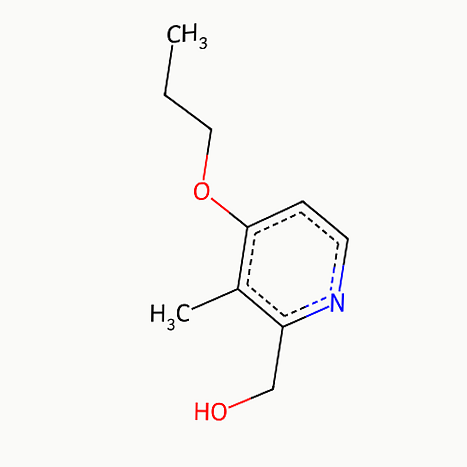 CCCOc1ccnc(CO)c1C